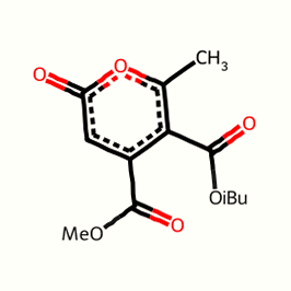 COC(=O)c1cc(=O)oc(C)c1C(=O)OCC(C)C